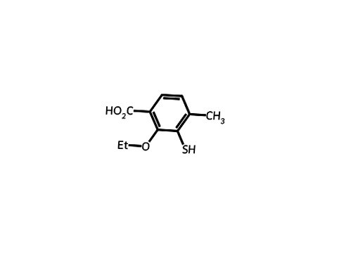 CCOc1c(C(=O)O)ccc(C)c1S